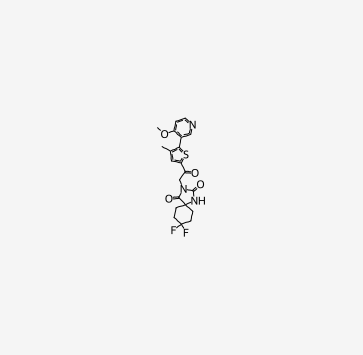 COc1ccncc1-c1sc(C(=O)CN2C(=O)NC3(CCC(F)(F)CC3)C2=O)cc1C